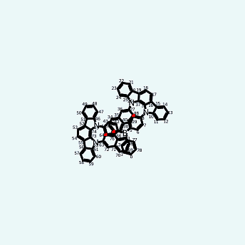 c1ccc(B(c2ccc(-n3c4ccccc4c4ccc5c6ccccc6n(-c6ccc7ccccc7c6)c5c43)cc2)c2ccc(-n3c4ccccc4c4ccc5c6ccccc6n(-c6ccc7ccccc7c6)c5c43)cc2)cc1